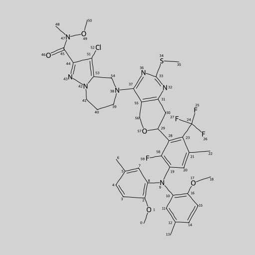 COc1ccc(C)cc1N(c1cc(C)ccc1OC)c1cc(C)c(C(F)(F)F)c(C2Cc3nc(SC)nc(N4CCCn5nc(C(=O)N(C)OC)c(Cl)c5C4)c3CO2)c1F